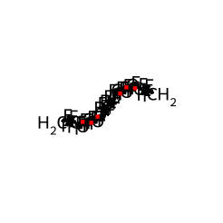 C=Cc1c(F)c(F)c(OCC(F)(F)OC(F)(F)C(F)(F)OC(F)(F)C(F)(F)OC(F)(F)COc2c(F)c(F)c(-c3c(F)c(F)c(OCC(F)(F)OC(F)(F)C(F)(F)OC(F)(F)C(F)(F)OC(F)(F)COc4c(F)c(F)c(C=C)c(F)c4F)c(F)c3F)c(F)c2F)c(F)c1F